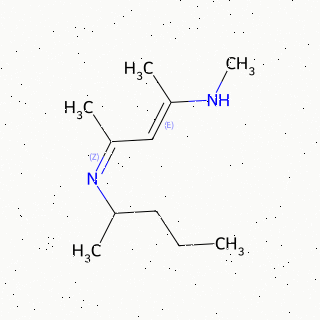 CCCC(C)/N=C(C)\C=C(/C)NC